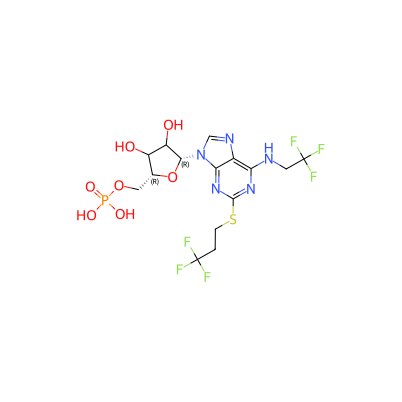 O=P(O)(O)OC[C@H]1O[C@@H](n2cnc3c(NCC(F)(F)F)nc(SCCC(F)(F)F)nc32)C(O)C1O